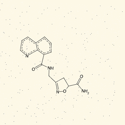 NC(=O)C1CC(CNC(=O)c2cccc3cccnc23)=NO1